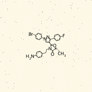 CC[C@H]1O[C@H](c2cn(-c3ccc(Br)cc3)nc2-c2ccc(F)cc2)N(CCc2ccc(N)cc2)C1=O